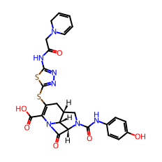 O=C(CN1C=CC=CC1)Nc1nnc(SC2=C(C(=O)O)N3C(=O)[C@@H]4[C@H]3[C@H](C2)CN4C(=O)Nc2ccc(O)cc2)s1